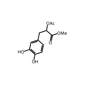 COC(=O)C(Cc1ccc(O)c(O)c1)OC(C)=O